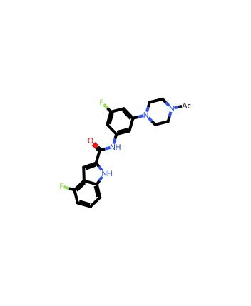 CC(=O)N1CCN(c2cc(F)cc(NC(=O)c3cc4c(F)cccc4[nH]3)c2)CC1